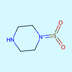 O=S(=O)=[N+]1CCNCC1